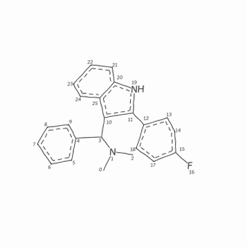 CN(C)C(c1ccccc1)c1c(-c2ccc(F)cc2)[nH]c2ccccc12